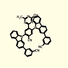 Cc1nc(C)nc(-c2cc(-n3c4ccccc4c4ccc(-c5cccc(C#N)c5)cc43)c(C#N)cc2-n2c3ccccc3c3ccc(-c4cccc(C#N)c4)cc32)n1